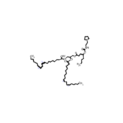 CCCCC/C=C\C/C=C\CCCCCCCC(=O)OC(COC(=O)CCC(CCCC)OC(=O)NCCN1CCCC1)COC(O)CCCCCCC/C=C\C/C=C\CCCCC